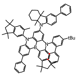 Cc1cc2c(cc1N1c3ccc(-c4ccccc4)cc3B3c4cc5c(cc4N(c4ccc(C(C)(C)C)cc4-c4ccccc4)c4cc(N6c7ccc(-c8ccccc8)cc7C7(C)CCCCC67C)cc1c43)C(C)(C)CC5(C)C)C(C)(C)CC2(C)C